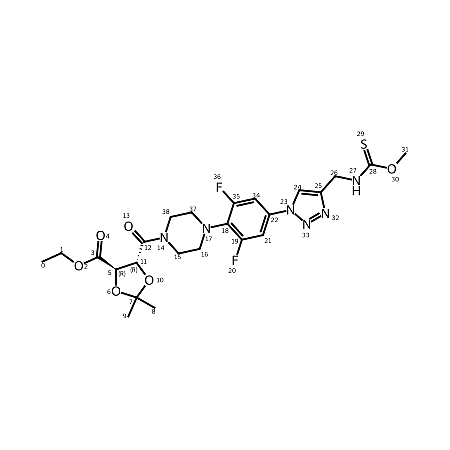 CCOC(=O)[C@@H]1OC(C)(C)O[C@H]1C(=O)N1CCN(c2c(F)cc(-n3cc(CNC(=S)OC)nn3)cc2F)CC1